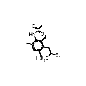 CCC(Cc1c(I)cc(I)c(NS(C)(=O)=O)c1I)C(=O)O